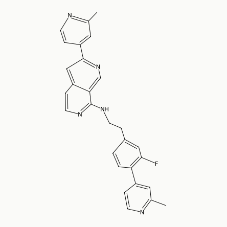 Cc1cc(-c2cc3ccnc(NCCc4ccc(-c5ccnc(C)c5)c(F)c4)c3cn2)ccn1